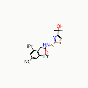 CC(C)c1cc(C#N)cc(C(C)C)c1CC(=O)NSc1nc(C(C)(C)O)cs1